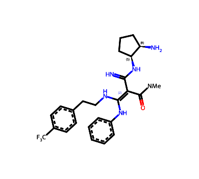 CNC(=O)/C(C(=N)N[C@H]1CCC[C@H]1N)=C(/NCCc1ccc(C(F)(F)F)cc1)Nc1ccccc1